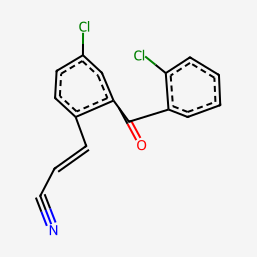 N#CC=Cc1ccc(Cl)cc1C(=O)c1ccccc1Cl